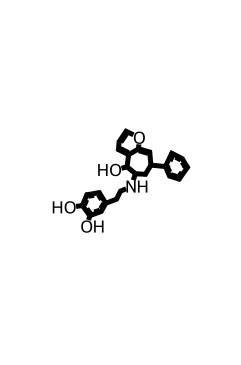 Oc1ccc(CCNC2CC(c3ccccc3)C=C3OC=CC=C3C2O)cc1O